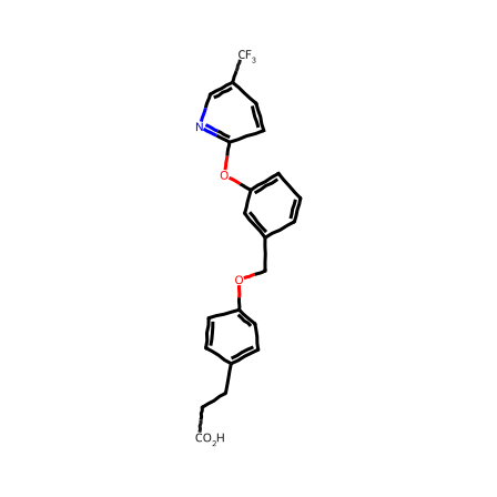 O=C(O)CCc1ccc(OCc2cccc(Oc3ccc(C(F)(F)F)cn3)c2)cc1